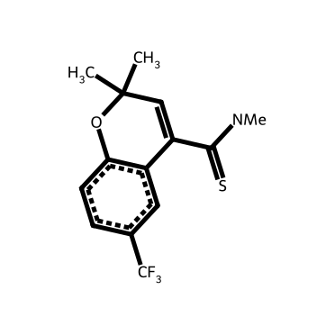 CNC(=S)C1=CC(C)(C)Oc2ccc(C(F)(F)F)cc21